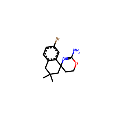 CC1(C)Cc2ccc(Br)cc2C2(CCOC(N)=N2)C1